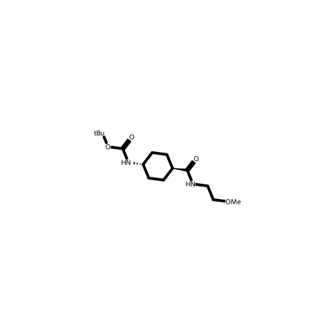 COCCNC(=O)[C@H]1CC[C@H](NC(=O)OC(C)(C)C)CC1